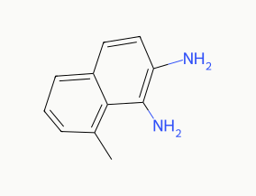 Cc1cccc2ccc(N)c(N)c12